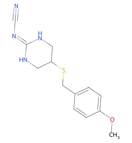 COc1ccc(CSC2CNC(=NC#N)NC2)cc1